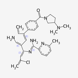 C=C\C(=C/C(=C\N)C(=C/C(=C)Cl)/N=C(\N)c1cccc(C)n1)c1ccc(C(=O)N2CCC(N(C)C)C2)cc1